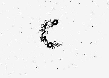 COC(=O)[C@H](CSCc1ccccc1)NC(=O)Cn1cc(COc2ccc3nc(S)sc3c2)nn1